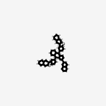 c1ccc2cc(-c3ccc4c(-c5ccc6oc7cc8ccccc8cc7c6c5)c5ccccc5c(-c5ccc6oc7cc8ccccc8cc7c6c5)c4c3)ccc2c1